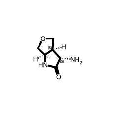 N[C@@H]1C(=O)N[C@H]2COC[C@H]21